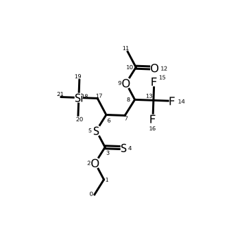 CCOC(=S)SC(CC(OC(C)=O)C(F)(F)F)C[Si](C)(C)C